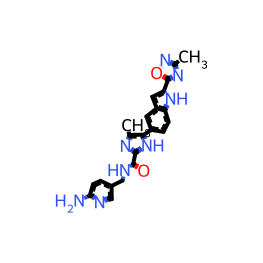 Cc1noc(-c2cc3cc(-c4[nH]c(C(=O)NCc5ccc(N)nc5)nc4C)ccc3[nH]2)n1